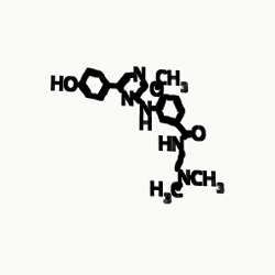 COc1ccc(C(=O)NCCN(C)C)cc1Nc1cncc(-c2ccc(O)cc2)n1